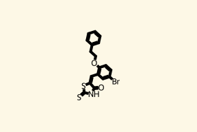 O=C1NC(=S)SC1=Cc1cc(Br)ccc1OCCc1ccccc1